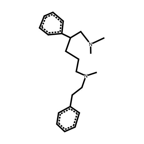 CN(C)CC(CCCN(C)CCc1ccccc1)c1ccccc1